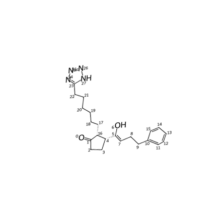 O=C1CC[C@@H](C(O)=CCCc2ccccc2)[C@H]1CCCCCCc1nnn[nH]1